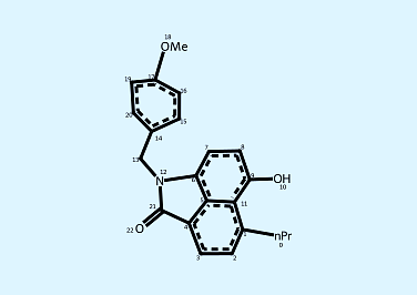 CCCc1ccc2c3c(ccc(O)c13)N(Cc1ccc(OC)cc1)C2=O